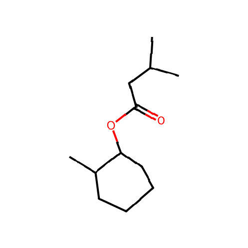 CC(C)CC(=O)OC1CCCCC1C